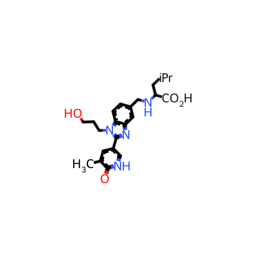 Cc1cc(-c2nc3cc(CNC(CC(C)C)C(=O)O)ccc3n2CCCO)c[nH]c1=O